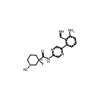 N#CN1CCC[C@](F)(C(=O)Nc2cnc(-c3cccc(N)c3C=N)cn2)C1